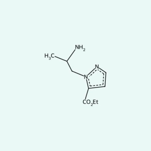 CCOC(=O)c1ccnn1CC(C)N